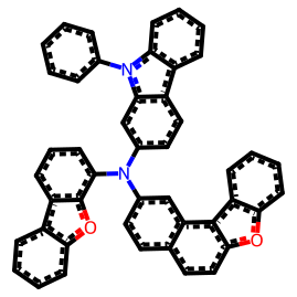 c1ccc(-n2c3ccccc3c3ccc(N(c4ccc5ccc6oc7ccccc7c6c5c4)c4cccc5c4oc4ccccc45)cc32)cc1